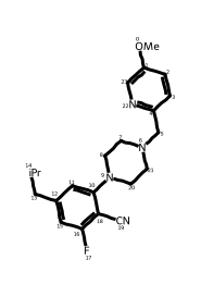 COc1ccc(CN2CCN(c3cc(CC(C)C)cc(F)c3C#N)CC2)nc1